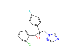 Fc1ccc(C2(Cn3[c]ncn3)OC2c2ccccc2Cl)cc1